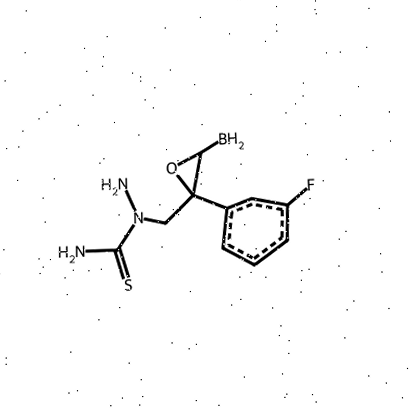 BC1OC1(CN(N)C(N)=S)c1cccc(F)c1